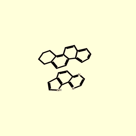 c1ccc2c(c1)ccc1c3c(ccc12)CCCC3.c1cnc2c(ccc3cc[nH]c32)n1